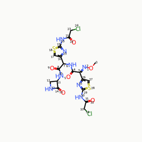 CON=C(C(=O)NC(C(=O)NC1CNC1=O)c1csc(NC(=O)CCl)n1)c1csc(NC(=O)CCl)n1